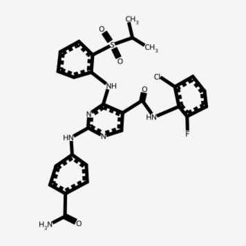 CC(C)S(=O)(=O)c1ccccc1Nc1nc(Nc2ccc(C(N)=O)cc2)ncc1C(=O)Nc1c(F)cccc1Cl